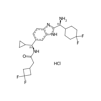 Cl.N[C@H](c1nc2ccc([C@@H](NC(=O)CC3CC(F)(F)C3)C3CC3)cc2[nH]1)C1CCC(F)(F)CC1